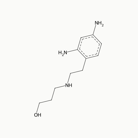 Nc1ccc(CCNCCCO)c(N)c1